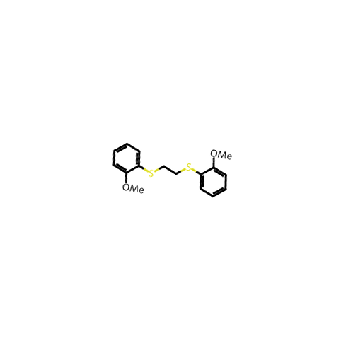 COc1ccccc1SCCSc1ccccc1OC